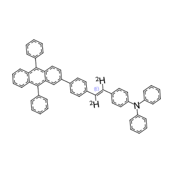 [2H]/C(=C(/[2H])c1ccc(N(c2ccccc2)c2ccccc2)cc1)c1ccc(-c2ccc3c(-c4ccccc4)c4ccccc4c(-c4ccccc4)c3c2)cc1